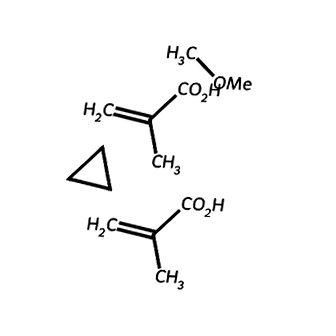 C1CC1.C=C(C)C(=O)O.C=C(C)C(=O)O.COC